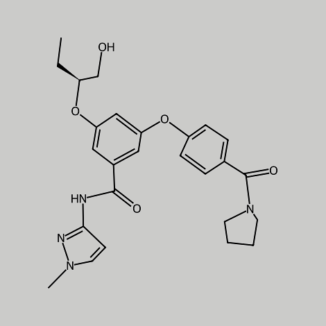 CC[C@@H](CO)Oc1cc(Oc2ccc(C(=O)N3CCCC3)cc2)cc(C(=O)Nc2ccn(C)n2)c1